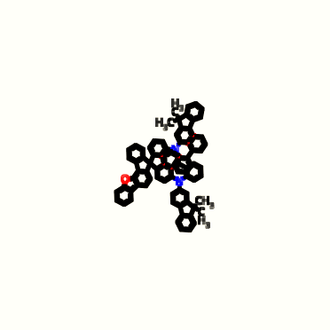 CC1(C)c2ccccc2-c2ccc(N(c3ccc4c(c3)-c3c(N(c5ccc6c(c5)C(C)(C)c5ccccc5-6)c5ccccc5-c5ccccc5)cccc3C43c4ccccc4-c4c3ccc3c4oc4ccccc43)c3ccccc3-c3ccccc3)cc21